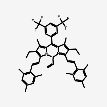 C=CB1n2c(/C=C/c3c(C)cc(C)cc3C)c(CC)c(C)c2C(c2cc(C(F)(F)F)cc(C(F)(F)F)c2)=C2C(C)=C(CC)C(/C=C/c3c(C)cc(C)cc3C)=[N+]12